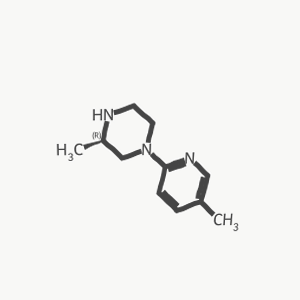 Cc1ccc(N2CCN[C@H](C)C2)nc1